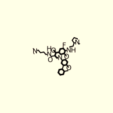 CN(C)CCCCNC(=O)c1cn2c3c(c(NCCC4CCCN4C)c(F)cc3c1=O)Oc1cc3c(cc1-2)-c1ccccc1CO3